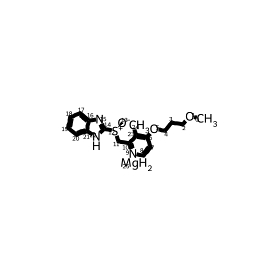 COCCCOc1ccnc(C[S@+]([O-])c2nc3ccccc3[nH]2)c1C.[MgH2]